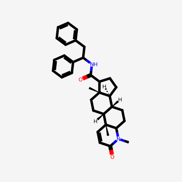 CN1C(=O)C=C[C@@]2(C)C1CC[C@@H]1[C@H]2CC[C@]2(C)C(C(=O)NC(Cc3ccccc3)c3ccccc3)CC[C@@H]12